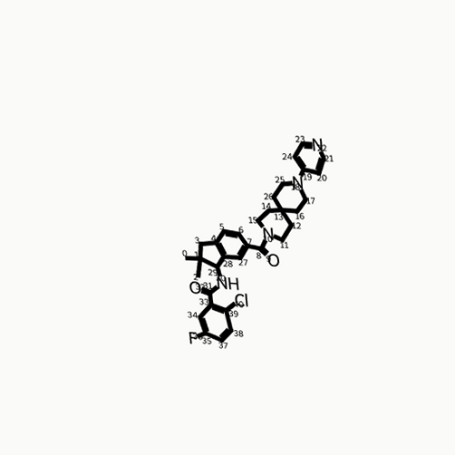 CC1(C)Cc2ccc(C(=O)N3CCC4(CC3)CCN(c3ccncc3)CC4)cc2C1NC(=O)c1cc(F)ccc1Cl